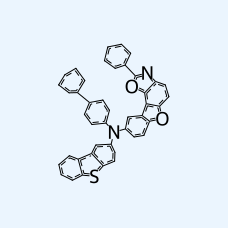 c1ccc(-c2ccc(N(c3ccc4sc5ccccc5c4c3)c3ccc4oc5ccc6nc(-c7ccccc7)oc6c5c4c3)cc2)cc1